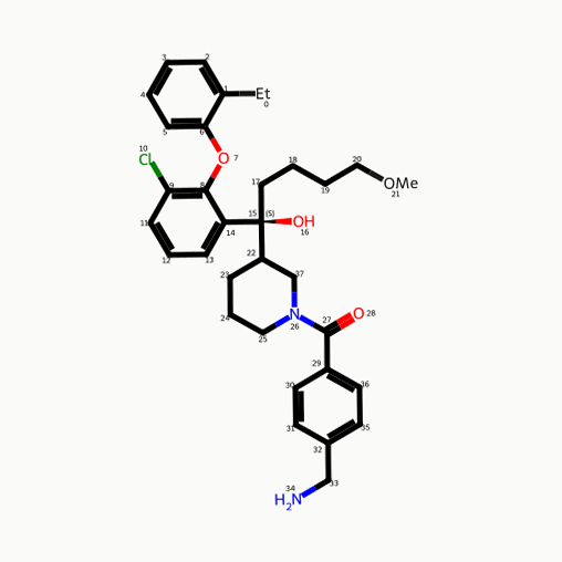 CCc1ccccc1Oc1c(Cl)cccc1[C@](O)(CCCCOC)C1CCCN(C(=O)c2ccc(CN)cc2)C1